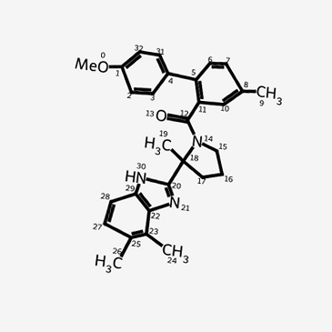 COc1ccc(-c2ccc(C)cc2C(=O)N2CCCC2(C)c2nc3c(C)c(C)ccc3[nH]2)cc1